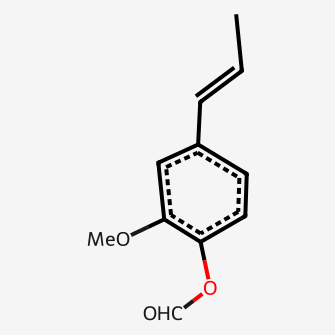 C/C=C/c1ccc(OC=O)c(OC)c1